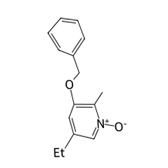 CCc1cc(OCc2ccccc2)c(C)[n+]([O-])c1